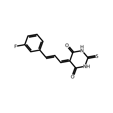 O=C1NC(=S)NC(=O)C1=C/C=C/c1cccc(F)c1